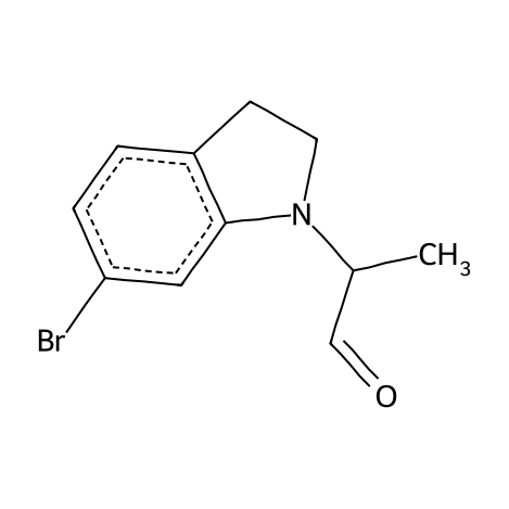 CC(C=O)N1CCc2ccc(Br)cc21